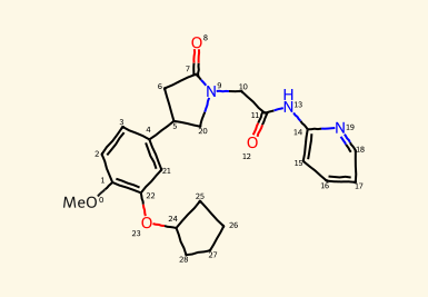 COc1ccc(C2CC(=O)N(CC(=O)Nc3ccccn3)C2)cc1OC1CCCC1